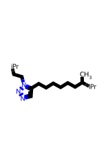 CC(C)CCn1nncc1CCCCCCC(C)C(C)C